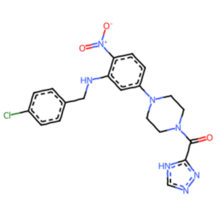 O=C(c1nnc[nH]1)N1CCN(c2ccc([N+](=O)[O-])c(NCc3ccc(Cl)cc3)c2)CC1